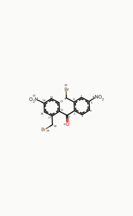 O=C(c1ccc([N+](=O)[O-])cc1CBr)c1ccc([N+](=O)[O-])cc1CBr